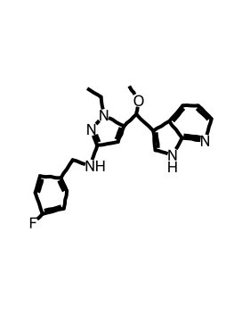 CCn1nc(NCc2ccc(F)cc2)cc1C(OC)c1c[nH]c2ncccc12